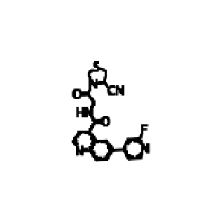 N#CC1CSCN1C(=O)CNC(=O)c1ccnc2ccc(-c3ccnc(F)c3)cc12